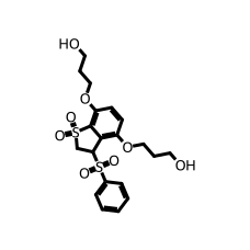 O=S1(=O)CC(S(=O)(=O)c2ccccc2)c2c(OCCCO)ccc(OCCCO)c21